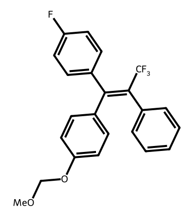 COCOc1ccc(C(=C(c2ccccc2)C(F)(F)F)c2ccc(F)cc2)cc1